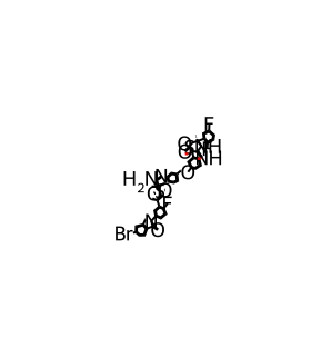 CC(CS(=O)(=O)C(C)(C)/C(N)=N\c1cccc(COc2cccc([C@]3(C)C(=N)N[C@](C)(c4cc(F)ccc4F)CS3(=O)=O)c2)c1)c1cc(N2Cc3cc(Br)ccc3C2=O)ccc1F